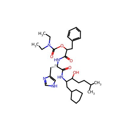 CCN(CC)C(=O)OC(Cc1ccccc1)C(=O)N[C@@H](Cc1c[nH]cn1)C(=O)NC(CC1CCCCC1)C(O)CCC(C)C